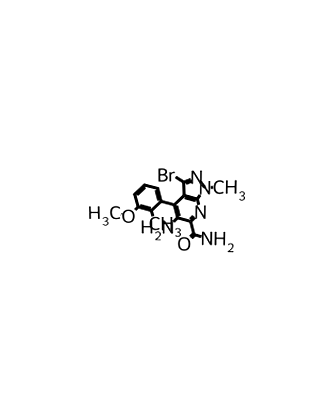 COc1cccc(-c2c(N)c(C(N)=O)nc3c2c(Br)nn3C)c1C